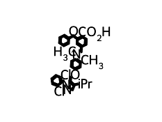 Cc1cc(OCc2c(C(C)C)cnn2-c2c(Cl)cccc2Cl)ccc1N(C)Cc1ccc(C(=O)O)c(C(=O)c2ccccc2)c1